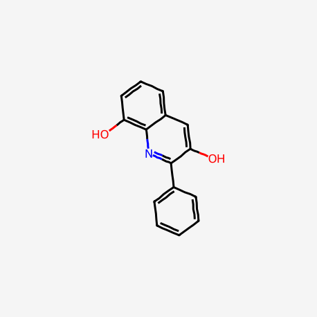 Oc1cc2cccc(O)c2nc1-c1ccccc1